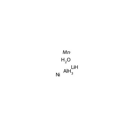 O.[AlH3].[LiH].[Mn].[Ni]